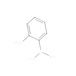 CCCCCCc1ccccc1N(CCCCCC)CCCCCC